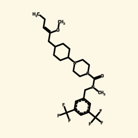 CC/C=C(/CC1CCC(N2CCN(C(=O)N(C)Cc3cc(C(F)(F)F)cc(C(F)(F)F)c3)CC2)CC1)OC